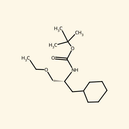 CCOC[C@@H](CC1CCCCC1)NC(=O)OC(C)(C)C